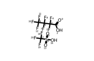 O=C(O)C(F)(F)C(F)(F)C(F)(F)F.O=S(=O)(O)C(F)(F)F